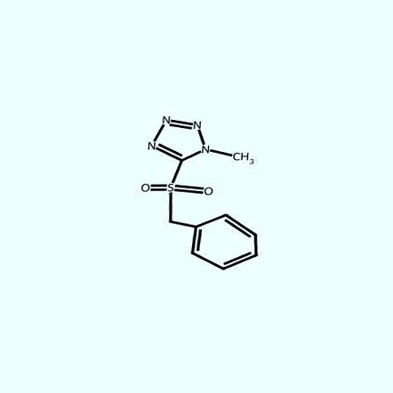 Cn1nnnc1S(=O)(=O)Cc1ccccc1